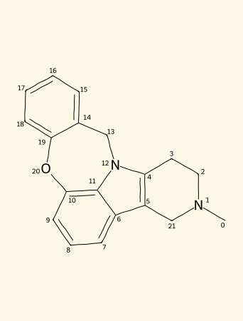 CN1CCc2c(c3cccc4c3n2Cc2ccccc2O4)C1